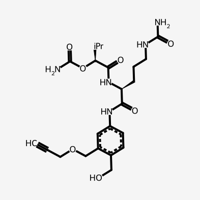 C#CCOCc1cc(NC(=O)[C@H](CCCNC(N)=O)NC(=O)[C@@H](OC(N)=O)C(C)C)ccc1CO